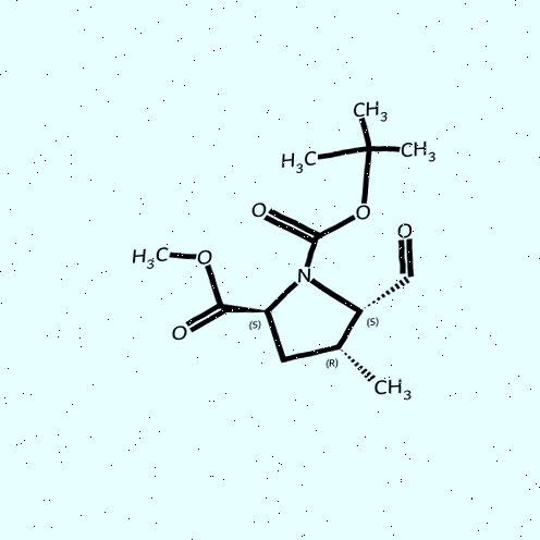 COC(=O)[C@@H]1C[C@@H](C)[C@@H](C=O)N1C(=O)OC(C)(C)C